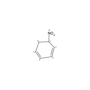 O=[N+]([O-])C1C=CC=CC1